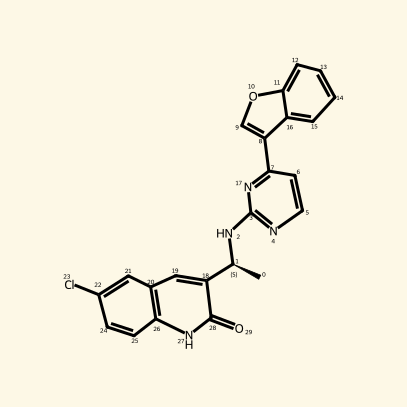 C[C@H](Nc1nccc(-c2coc3ccccc23)n1)c1cc2cc(Cl)ccc2[nH]c1=O